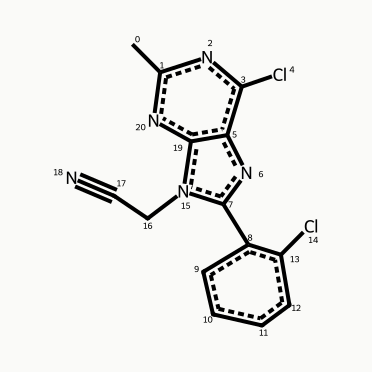 Cc1nc(Cl)c2nc(-c3ccccc3Cl)n(CC#N)c2n1